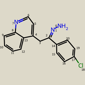 NN=C(Cc1ccnc2ccccc12)c1ccc(Cl)cc1